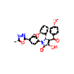 COc1ccc(C(=O)C2=C(O)C(=O)N(c3ccc(-c4nnc(C)o4)cc3)C2c2ccccc2OC)cc1